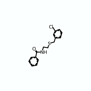 O=C(NCCSCc1cccc(Cl)c1)c1ccccc1